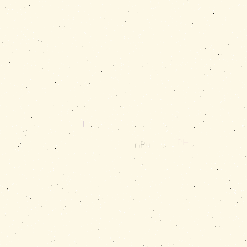 CCCCC(c1ccccc1)C(I)(c1ccccc1)c1ccccc1.P